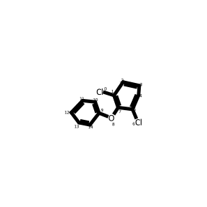 Clc1[c]ccc(Cl)c1Oc1ccccc1